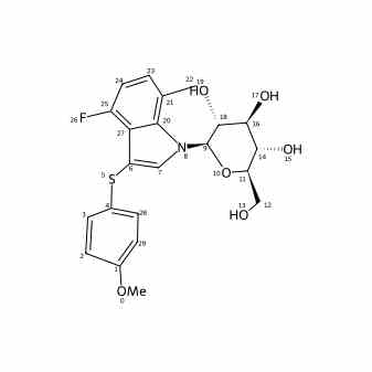 COc1ccc(Sc2cn([C@@H]3O[C@H](CO)[C@@H](O)[C@H](O)[C@H]3O)c3c(C)ccc(F)c23)cc1